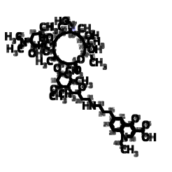 CC[C@@H]1OC(=O)[C@H](C)[C@H](O[C@@H]2C[C@](C)(OC)[C@H](CC(=O)CCNCCCc3ccc4c(c3)c(=O)c(C(=O)O)cn4CC)[C@H](C)O2)[C@@H](C)[C@H](O[C@H]2O[C@@H](C)C[C@@H](N(C)C)[C@H]2O)[C@](C)(O)C[C@H](C)/C(=N\O)[C@H](C)[C@H](O)[C@]1(C)O